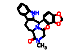 CN1CC(=O)N2C(CCc3c([nH]c4ccccc34)[C@H]2c2ccc3c(c2)OCO3)C1=O